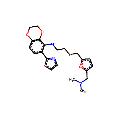 CN(C)Cc1ccc(CSCCNc2c(-c3nccs3)ccc3c2OCCO3)o1